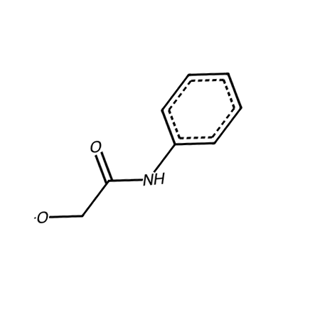 [O]CC(=O)Nc1ccccc1